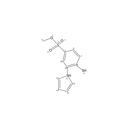 COS(=O)(=O)c1ccc(S)c([SH]2C=CC=C2)c1